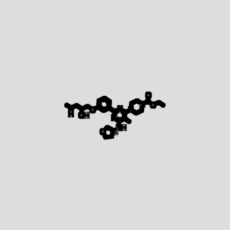 CCOC(=O)N1CCN(c2nc(-c3cccc(OCC(O)CNC)c3)nc(N[C@@H]3CCOC3)c2C)CC1